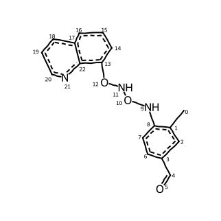 Cc1cc(C=O)ccc1NONOc1cccc2cccnc12